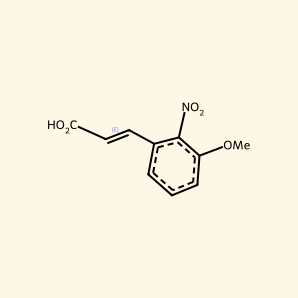 COc1cccc(/C=C/C(=O)O)c1[N+](=O)[O-]